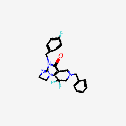 O=C1C2=C(N3CCN=C3N1Cc1ccc(F)cc1)C(F)(F)CN(Cc1ccccc1)C2